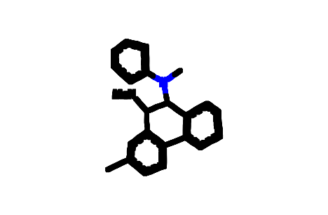 CNC1c2cc(C)ccc2-c2ccccc2C1N(C)c1ccccc1